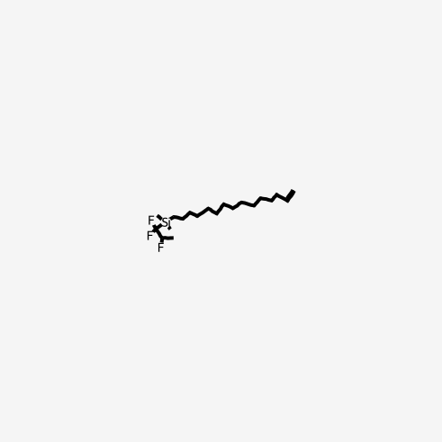 C=CCCCCCCCCCCCCC[Si](C)(C)C(F)(F)C(C)F